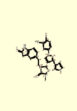 C[C@@H]1O[C@@H](c2cn(-c3ccc(F)c(F)c3)nc2-c2ccsc2)N(CCc2ccc3c(c2)CC(=O)N3)C1=O